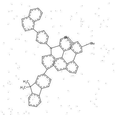 CC(C)(C)c1cc(-c2cccc3cccc(-c4ccccc4N(c4ccc(-c5ccc6c(c5)C(C)(C)c5ccccc5-6)cc4)c4ccc(-c5cccc6ccccc56)cc4)c23)cc(C(C)(C)C)c1